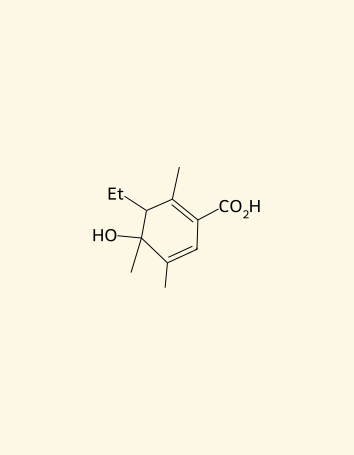 CCC1C(C)=C(C(=O)O)C=C(C)C1(C)O